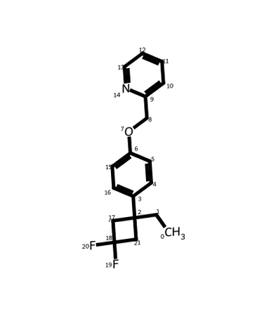 CCC1(c2ccc(OCc3ccccn3)cc2)[CH]C(F)(F)C1